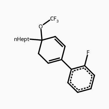 CCCCCCCC1(OC(F)(F)F)C=CC(c2ccccc2F)=CC1